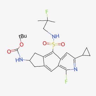 CC(C)(F)CNS(=O)(=O)c1c2c(cc3c(F)nc(C4CC4)cc13)CC(NC(=O)OC(C)(C)C)C2